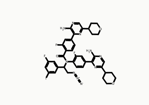 [N-]=[N+]=NCC(c1cc(F)cc(I)c1)N(C(=O)c1ccc(-c2nc(C3CCOCC3)cnc2N)cc1F)c1ccc(-c2nc(C3CCOCC3)cnc2N)cc1F